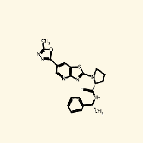 Cc1nnc(-c2cnc3nc(N4CCC[C@@H]4C(=O)N[C@H](C)c4ccccc4)sc3c2)o1